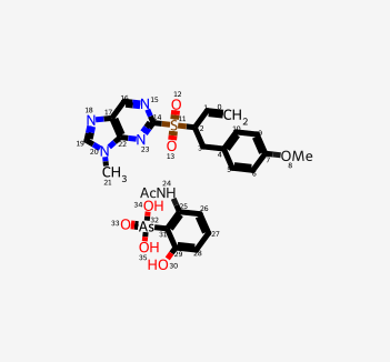 C=CC(Cc1ccc(OC)cc1)S(=O)(=O)c1ncc2ncn(C)c2n1.CC(=O)Nc1cccc(O)c1[As](=O)(O)O